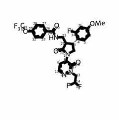 COc1ccc([C@@H]2CN(c3ccnn(CC(F)F)c3=O)C(=O)C2CNC(=O)c2ccc(OC(F)(F)F)cc2)c(F)c1